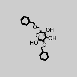 O[C@@H]1[C@H](O)[C@@H](OCc2ccccc2)[C@@H](O)O[C@@H]1COCc1ccccc1